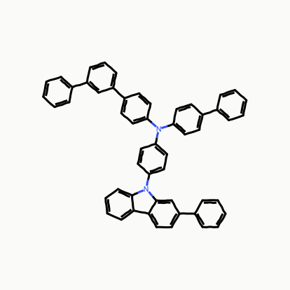 c1ccc(-c2ccc(N(c3ccc(-c4cccc(-c5ccccc5)c4)cc3)c3ccc(-n4c5ccccc5c5ccc(-c6ccccc6)cc54)cc3)cc2)cc1